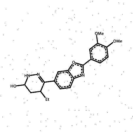 CCC1CC(O)NN=C1c1ccc2nc(-c3ccc(OC)c(OC)c3)oc2c1